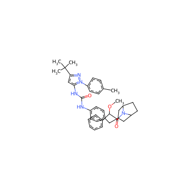 COC(C(=O)N1C2CCC1CC(Cc1ccc(NC(=O)Nc3cc(C(C)(C)C)nn3-c3ccc(C)cc3)cc1)C2)c1ccccc1